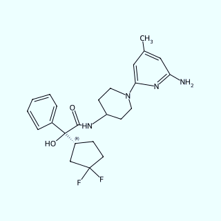 Cc1cc(N)nc(N2CCC(NC(=O)C(O)(c3ccccc3)[C@@H]3CCC(F)(F)C3)CC2)c1